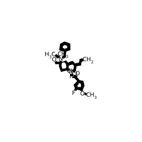 C=C/C=C(\C=C1\C[C@@]2(CCC1C)COC(C)(C)N2Cc1ccccc1)c1nnc(-c2ccc(OC)c(F)c2)o1